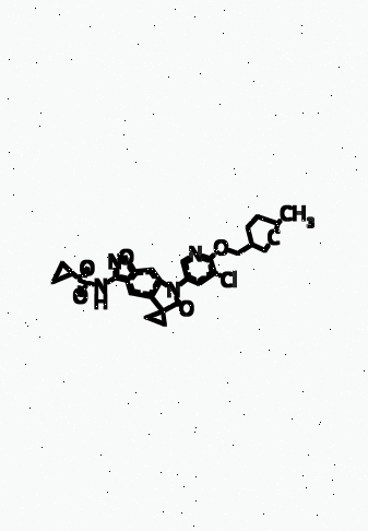 CC1CCC(COc2ncc(N3C(=O)C4(CC4)c4cc5c(NS(=O)(=O)C6CC6)noc5cc43)cc2Cl)CC1